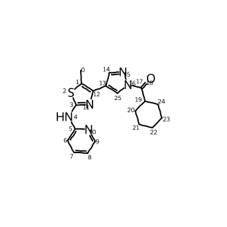 Cc1sc(Nc2ccccn2)nc1-c1cnn(C(=O)C2CCCCC2)c1